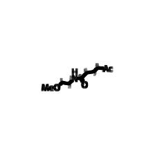 COCCNC(=O)CCCC(C)=O